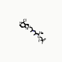 C=N/C(OCC(F)(F)F)=C(C)\C=C(/C)Cn1cc2c(Cl)nccc2n1